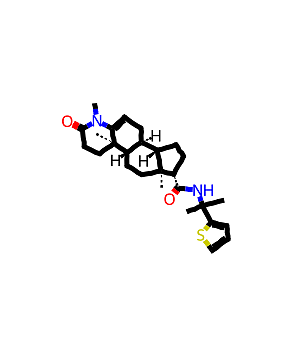 CN1C(=O)CC[C@@]2(C)C1=CC[C@H]1[C@@H]3CC[C@H](C(=O)NC(C)(C)c4cccs4)[C@@]3(C)CC[C@@H]12